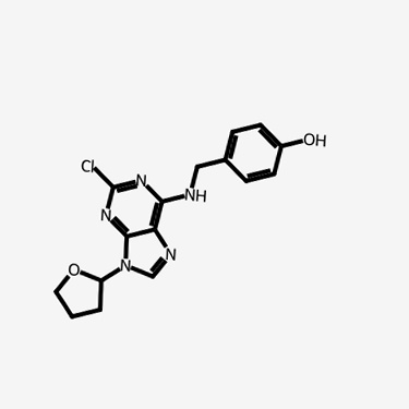 Oc1ccc(CNc2nc(Cl)nc3c2ncn3C2CCCO2)cc1